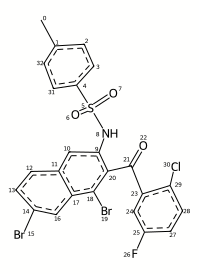 Cc1ccc(S(=O)(=O)Nc2cc3ccc(Br)cc3c(Br)c2C(=O)c2cc(F)ccc2Cl)cc1